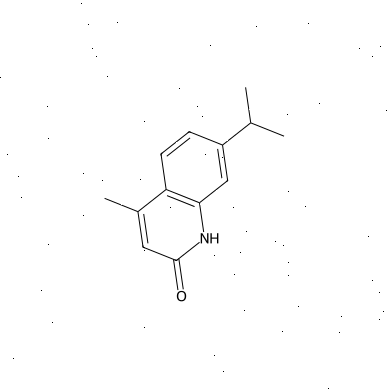 Cc1cc(=O)[nH]c2cc(C(C)C)ccc12